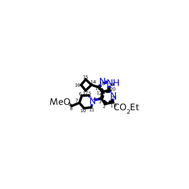 CCOC(=O)c1cc(N2CCC(COC)CC2)c2c(C3CCC3)n[nH]c2n1